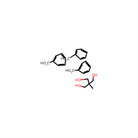 CC(CO)(CO)CO.O=C(O)c1ccccc1.O=C(O)c1ccccc1.O=C(O)c1ccccc1